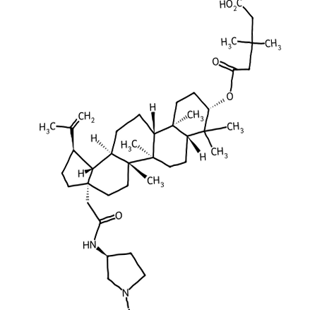 C=C(C)[C@@H]1CC[C@]2(CC(=O)N[C@H]3CCN(C(C)=O)C3)CC[C@]3(C)[C@H](CC[C@@H]4[C@@]5(C)CC[C@H](OC(=O)CC(C)(C)CC(=O)O)C(C)(C)[C@@H]5CC[C@]43C)[C@@H]12